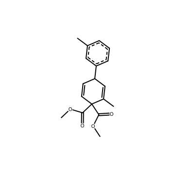 COC(=O)C1(C(=O)OC)C=CC(c2cccc(C)c2)C=C1C